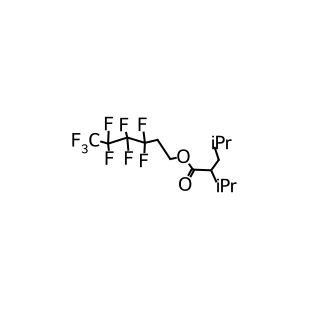 CC(C)CC(C(=O)OCCC(F)(F)C(F)(F)C(F)(F)C(F)(F)F)C(C)C